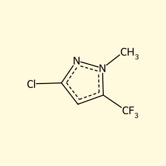 Cn1nc(Cl)cc1C(F)(F)F